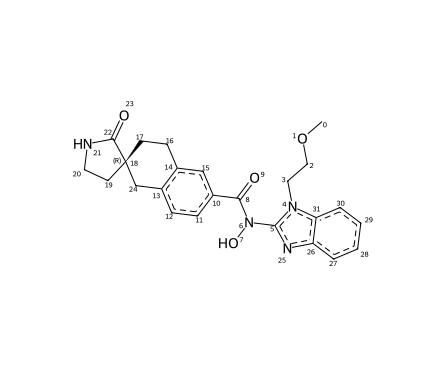 COCCn1c(N(O)C(=O)c2ccc3c(c2)CC[C@]2(CCNC2=O)C3)nc2ccccc21